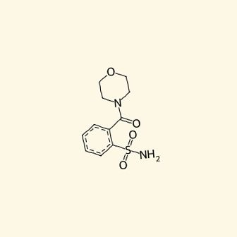 NS(=O)(=O)c1ccccc1C(=O)N1CCOCC1